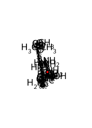 COC1=C(OC)C(=O)C(CCCCCCCCCC(=O)NCCCCC(NC(=O)[C@H](Cc2c(C)cc(O)cc2C)NC(=O)[C@H](N)CCCNC(=N)N)C(=O)N[C@@H](Cc2ccccc2)C(N)=O)=C(C)C1=O